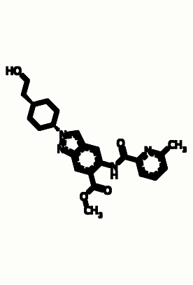 COC(=O)c1cc2nn([C@H]3CC[C@H](CCO)CC3)cc2cc1NC(=O)c1cccc(C)n1